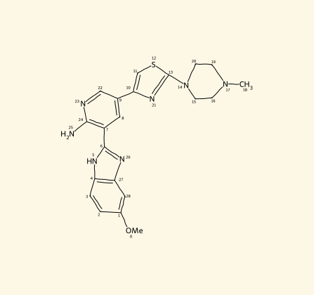 COc1ccc2[nH]c(-c3cc(-c4csc(N5CCN(C)CC5)n4)cnc3N)nc2c1